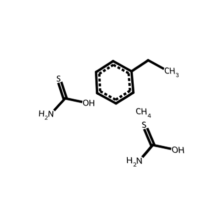 C.CCc1ccccc1.NC(O)=S.NC(O)=S